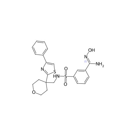 N/C(=N\O)c1cccc(S(=O)(=O)NCC2(c3nc(-c4ccccc4)cs3)CCOCC2)c1